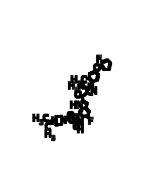 Cc1cc(Oc2ccccc2F)ccc1-n1ncc(C(=O)c2cc3cc(F)c(NS(=O)(=O)CC(=O)N4CCN(C(C)C)CC4)cc3[nH]2)c1N